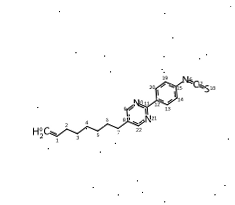 C=CCCCCCCc1cnc(-c2ccc(N=C=S)cc2)nc1